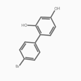 Oc1ccc(-c2ccc(Br)cc2)c(O)c1